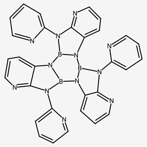 c1ccc(N2B3N(B4N(B5N3c3cccnc3N5c3ccccn3)c3cccnc3N4c3ccccn3)c3cccnc32)nc1